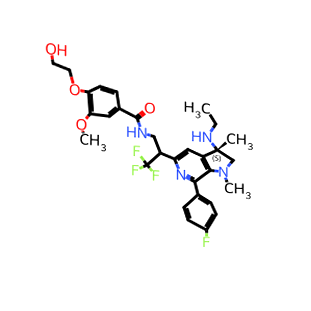 CCN[C@]1(C)CN(C)c2c1cc(C(CNC(=O)c1ccc(OCCO)c(OC)c1)C(F)(F)F)nc2-c1ccc(F)cc1